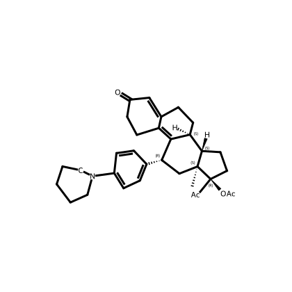 CC(=O)O[C@]1(C(C)=O)CC[C@H]2[C@@H]3CCC4=CC(=O)CCC4=C3[C@@H](c3ccc(N4CCCCC4)cc3)C[C@@]21C